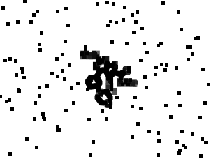 CNC(=O)c1sc2nc(NC)nc(-c3cccc(N4CCOCC4)c3)c2c1N